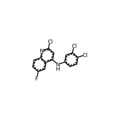 Fc1ccc2nc(Cl)cc(Nc3ccc(Cl)c(Cl)c3)c2c1